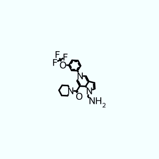 NCN1C=CC2=CN(c3cccc(OC(F)(F)F)c3)C=C(C(=O)N3CCCCC3)C21